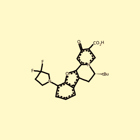 CC(C)(C)[C@@H]1Cc2c(oc3c(N4CCC(F)(F)C4)cccc23)-c2cc(=O)c(C(=O)O)cn21